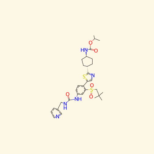 CC(C)OC(=O)N[C@H]1CC[C@H](c2ncc(-c3ccc(NC(=O)NCc4cccnc4)cc3S(=O)(=O)CC(C)(C)C)s2)CC1